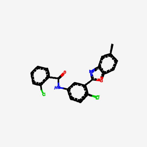 Cc1ccc2oc(-c3cc(NC(=O)c4ccccc4Cl)ccc3Cl)nc2c1